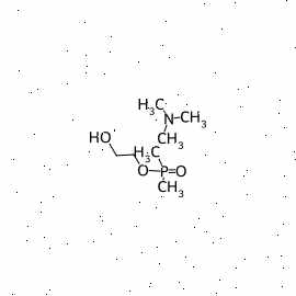 CN(C)C.CP(C)(=O)OCCO